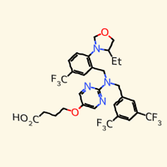 CCC1COCN1c1ccc(C(F)(F)F)cc1CN(Cc1cc(C(F)(F)F)cc(C(F)(F)F)c1)c1ncc(OCCCC(=O)O)cn1